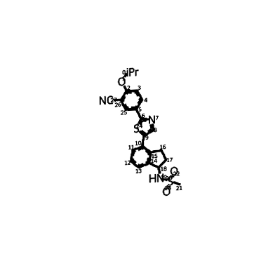 CC(C)Oc1ccc(-c2ncc(-c3cccc4c3CCC4NS(C)(=O)=O)s2)cc1C#N